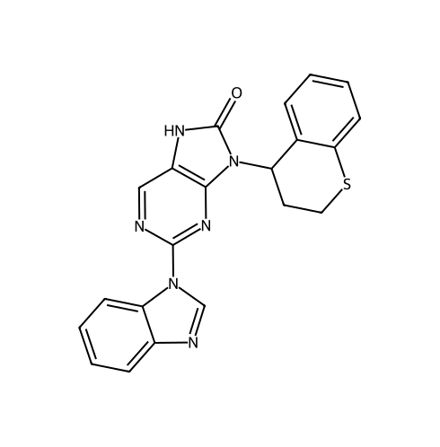 O=c1[nH]c2cnc(-n3cnc4ccccc43)nc2n1C1CCSc2ccccc21